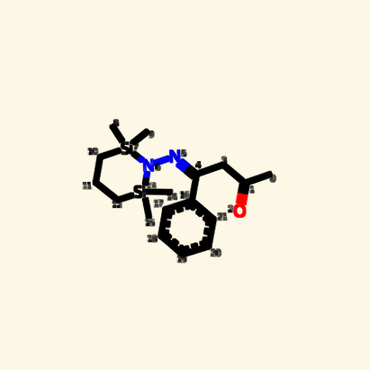 CC(=O)CC(=NN1[Si](C)(C)CCC[Si]1(C)C)c1ccccc1